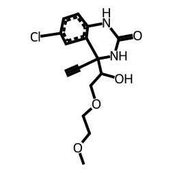 C#CC1(C(O)COCCOC)NC(=O)Nc2ccc(Cl)cc21